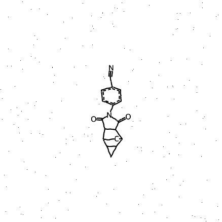 N#Cc1ccc(N2C(=O)C3C4CCC(C5CC54)C3C2=O)cc1